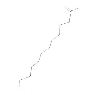 CCCCCCCCCCCC(C)=S